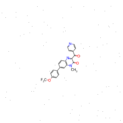 Cn1c(=O)c(C(=O)c2ccncc2)nc2ccc(-c3ccc(OC(F)(F)F)cc3)cc21